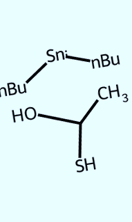 CC(O)S.CCC[CH2][Sn][CH2]CCC